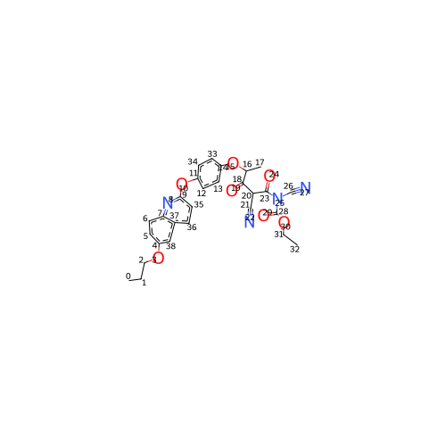 CCCOc1ccc2nc(Oc3ccc(OC(C)C(=O)C(C#N)C(=O)N(C#N)C(=O)OCC)cc3)ccc2c1